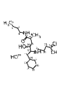 CCCCNC(=O)C(C)CC(O)C(CC1CCCCC1)NCCCC(C)C.Cl